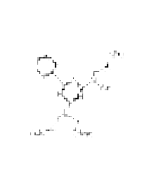 CCCCOCN(COC)c1nc(-c2ccccc2)nc(N(COCCCC)C(C)=O)n1